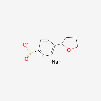 O=S([O-])c1ccc(C2CCCO2)cc1.[Na+]